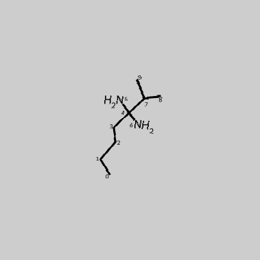 CCCCC(N)(N)C(C)C